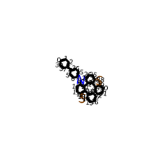 c1ccc(-c2ccc(-n3c4ccc5sc6ccccc6c5c4c4c5c(ccc43)sc3ccccc35)cc2)cc1